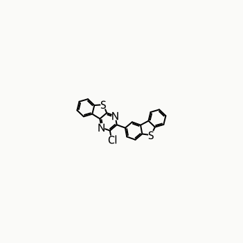 Clc1nc2c(nc1-c1ccc3sc4ccccc4c3c1)sc1ccccc12